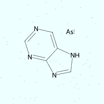 [As].c1ncc2[nH]cnc2n1